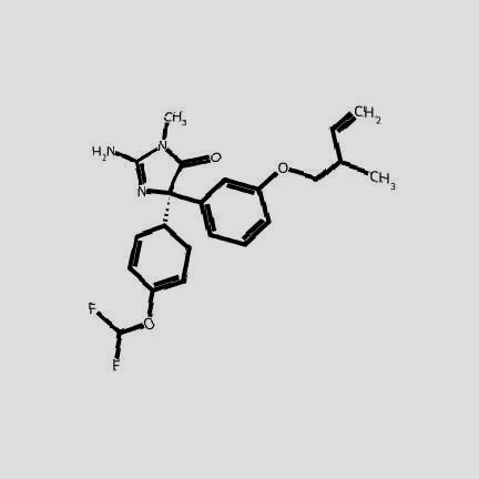 C=CC(C)COc1cccc([C@@]2(C3C=CC(OC(F)F)=CC3)N=C(N)N(C)C2=O)c1